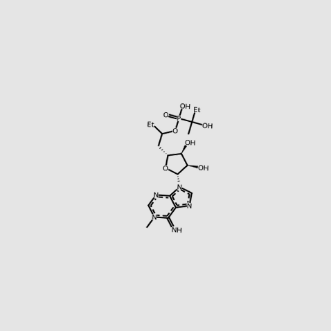 CCC(C[C@H]1O[C@@H](n2cnc3c(=N)n(C)cnc32)[C@H](O)[C@@H]1O)OP(=O)(O)C(C)(O)CC